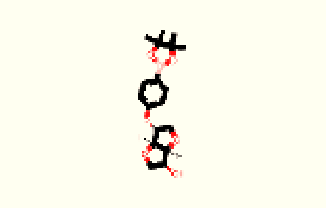 CC1(C)OB(c2ccc(O[C@@H]3CO[C@@H]4[C@H]3OC[C@@H]4O)cc2)OC1(C)C